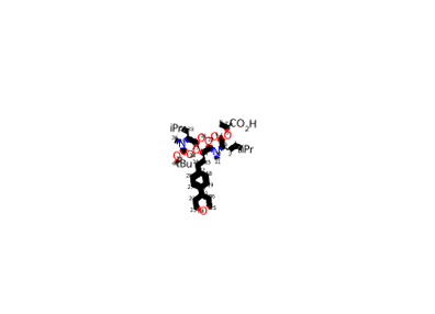 CC(C)CC[C@@H](C(=O)O[C@H](C)C(=O)O)N(C)C(=O)[C@@H](CCc1ccc(C2CCOCC2)cc1)OC(=O)[C@H](CC(C)C)N(C)C(=O)OC(C)(C)C